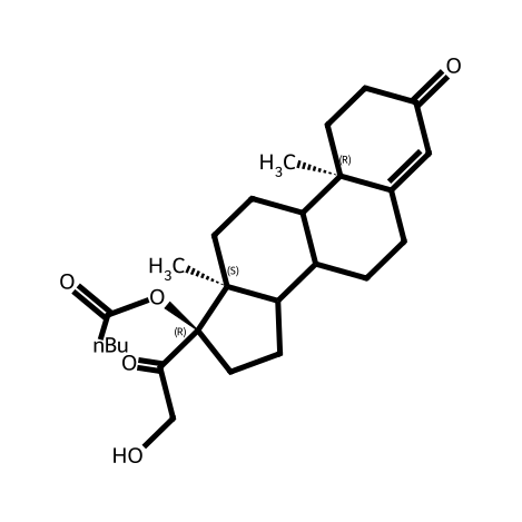 CCCCC(=O)O[C@]1(C(=O)CO)CCC2C3CCC4=CC(=O)CC[C@]4(C)C3CC[C@@]21C